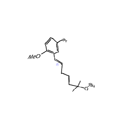 COc1ccc(C(C)C)cc1/C=C/CCCC(C)(C)OC(C)(C)C